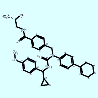 O=C(NC[C@@H](O)C(=O)O)c1ccc(CN(C(=O)NC(c2ccc(OC(F)(F)F)cc2)C2CC2)c2ccc(C3=CCCCC3)cc2)cc1